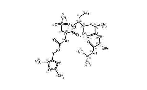 Cc1nc(COC(=O)N[C@@H](CS(C)(=O)=O)C(=O)N[C@H](CC(C)C)[C@@H](O)C[C@@H](C)C(=O)N[C@@H](C(=O)NN(C)C)C(C)C)c(C)o1